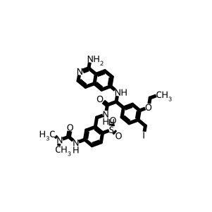 CCOc1cc(C(Nc2ccc3c(N)nccc3c2)C(=O)NCc2cc(NC(=O)N(C)C)ccc2[SH](=O)=O)ccc1CI